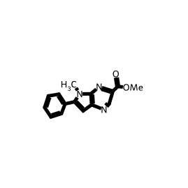 COC(=O)c1cnc2cc(-c3ccccc3)n(C)c2n1